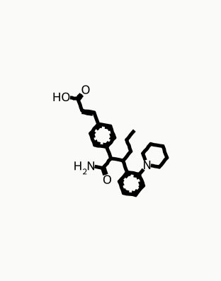 CCCC(c1ccccc1N1CCCCC1)C(C(N)=O)c1ccc(/C=C/C(=O)O)cc1